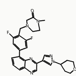 CN1CCN(Cc2c(F)cc(-c3cccc4ncc(-c5cnn(C6CCOCC6)c5)nc34)cc2F)CC1=O